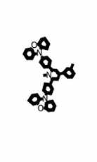 Cc1cccc(C2=CC(c3ccc(N4c5ccccc5Oc5ccccc54)cc3)N(C)C(c3ccc(N4c5ccccc5Oc5ccccc54)cc3)=C2)c1